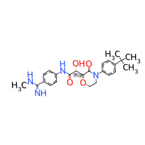 CNC(=N)c1ccc(NC(=O)[C@H](O)[C@H]2OCCN(c3ccc(C(C)(C)C)cc3)C2=O)cc1